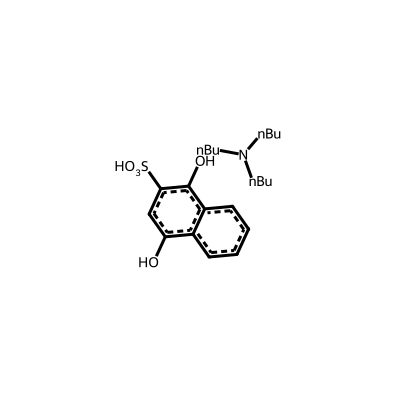 CCCCN(CCCC)CCCC.O=S(=O)(O)c1cc(O)c2ccccc2c1O